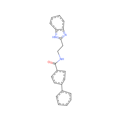 O=C(NCCc1nc2ccccc2[nH]1)c1ccc(-c2ccccc2)cc1